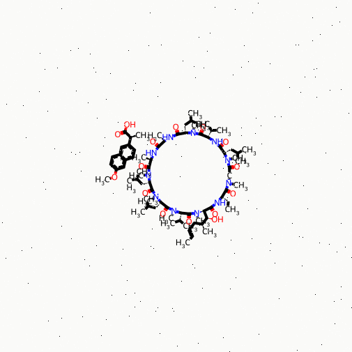 C/C=C/C[C@@H](C)[C@@H](O)[C@H]1C(=O)N[C@@H](CC)C(=O)N(C)CC(=O)N(C)[C@@H](CC(C)C)C(=O)N[C@@H](C(C)C)C(=O)N(C)[C@@H](CC(C)C)C(=O)N[C@@H](C)C(=O)N[C@H](C)C(=O)N(C)[C@@H](CC(C)C)C(=O)N(C)[C@@H](CC(C)C)C(=O)N(C)[C@@H](C(C)C)C(=O)N1C.COc1ccc2cc([C@H](C)C(=O)O)ccc2c1